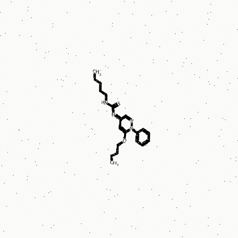 CCCCCNC(=S)N=c1cnn(-c2ccccc2)c(OCCCC)c1